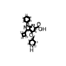 O=C(O)c1cc(OCC2CCNCC2)c2c(C3CCC3)nn(-c3ccccc3)c2n1